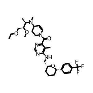 CCOC[C@H](OC)[C@@H](C)N(C)C1C=CN(C(=O)c2ncnc(NC[C@H]3CCC[C@@H](c4ccc(C(F)(F)F)cc4)O3)c2C)CC1